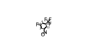 O=Nc1cc(F)cc(C(F)(F)F)c1